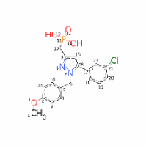 COc1ccc(Cn2nc(CP(=O)(O)O)cc2-c2cccc(Cl)c2)cc1